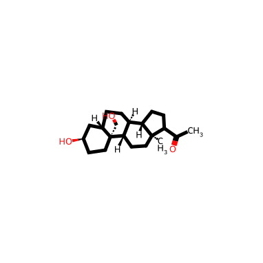 CC(=O)C1CC[C@H]2[C@@H]3CC[C@H]4C[C@H](O)CC[C@]4(CO)[C@H]3CC[C@]12C